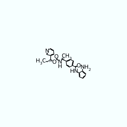 CC[C@H](OC(=O)N[C@@H](C)c1ccc(C(=O)Nc2ccccc2N)cc1)c1cccnc1